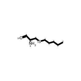 CCCCCSC[C@@H](N)C=O